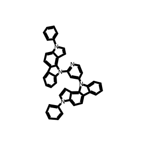 c1ccc(-n2ccc3c2ccc2c4ccccc4n(-c4ccnc(-n5c6ccccc6c6ccc7c(ccn7-c7ccccc7)c65)c4)c23)cc1